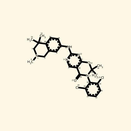 CN1Cc2cc(Nc3ncc4c(n3)OC(C)(C)N(c3c(Cl)cccc3Cl)C4=O)ccc2C(C)(C)C1